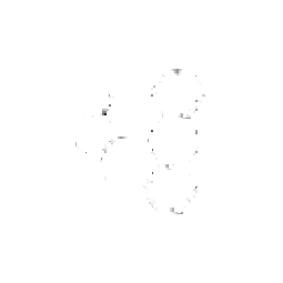 C=C1CCC(C)=C1N1c2ccccc2Oc2ccccc21